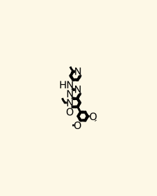 CCn1c(=O)c(-c2cc(OC)cc(OC)c2)cc2cnc(Nc3ccnc(C)c3)nc21